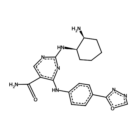 NC(=O)c1cnc(N[C@@H]2CCCC[C@@H]2N)nc1Nc1ccc(-c2nnco2)cc1